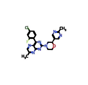 Cc1cnc2c(-c3ccc(Cl)cc3F)nc(N3CCO[C@H](c4cnc(C)nc4)C3)nc2n1